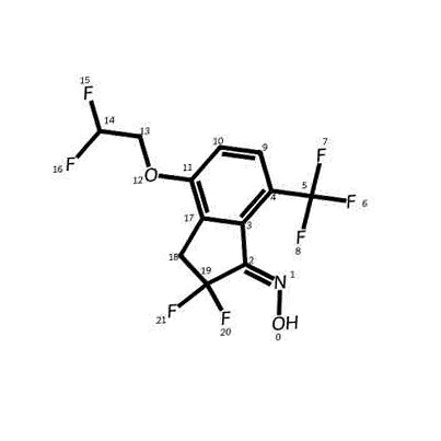 ON=C1c2c(C(F)(F)F)ccc(OCC(F)F)c2CC1(F)F